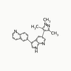 Cc1nn(C)c(C)c1-c1cnc2[nH]cc(-c3ccc4ncccc4c3)c2c1